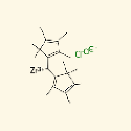 CC1=C(C)C(C)(C)C([CH]([Zr+3])C2=C(C)C(C)=C(C)C2(C)C)=C1C.[Cl-].[Cl-].[Cl-]